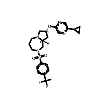 O=S(=O)(c1ccc(C(F)(F)F)cc1)N1CCCN2C[C@H](Oc3cnc(C4CC4)cn3)C[C@@H]2C1